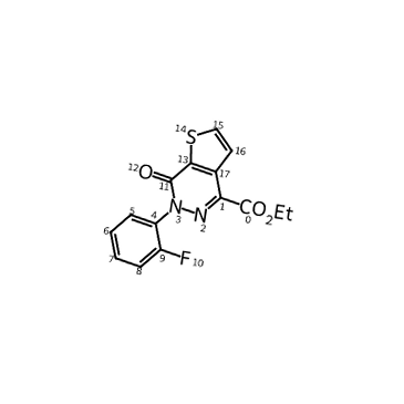 CCOC(=O)c1nn(-c2ccccc2F)c(=O)c2sccc12